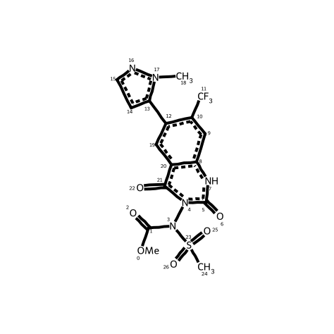 COC(=O)N(n1c(=O)[nH]c2cc(C(F)(F)F)c(-c3ccnn3C)cc2c1=O)S(C)(=O)=O